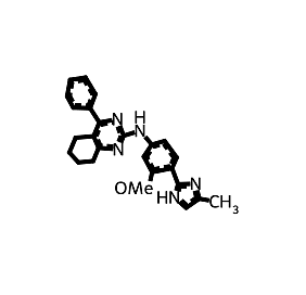 COc1cc(Nc2nc3c(c(-c4ccccc4)n2)CCCC3)ccc1-c1nc(C)c[nH]1